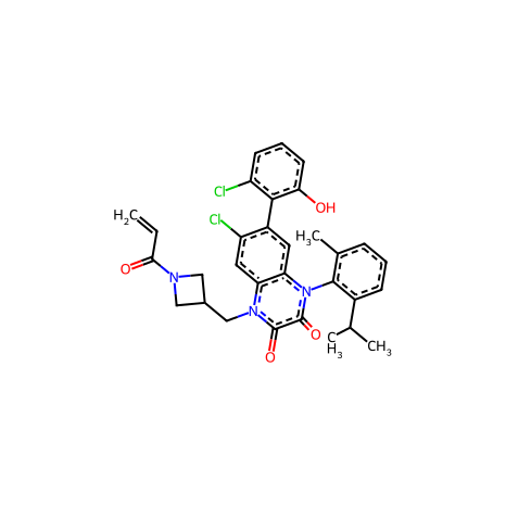 C=CC(=O)N1CC(Cn2c(=O)c(=O)n(-c3c(C)cccc3C(C)C)c3cc(-c4c(O)cccc4Cl)c(Cl)cc32)C1